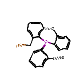 COc1ccccc1P(c1ccccc1CS)c1ccccc1OC